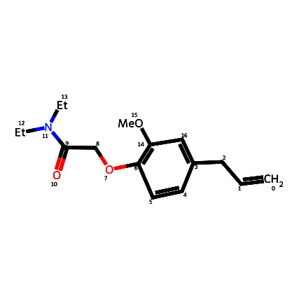 C=CCc1ccc(OCC(=O)N(CC)CC)c(OC)c1